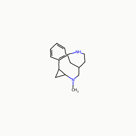 CN(CC1CCNCC1)C1CC1c1ccccc1